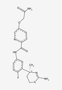 C[C@@]1(c2cc(NC(=O)c3ccc(OCC(N)=O)cn3)ccc2F)CCSC(N)=N1